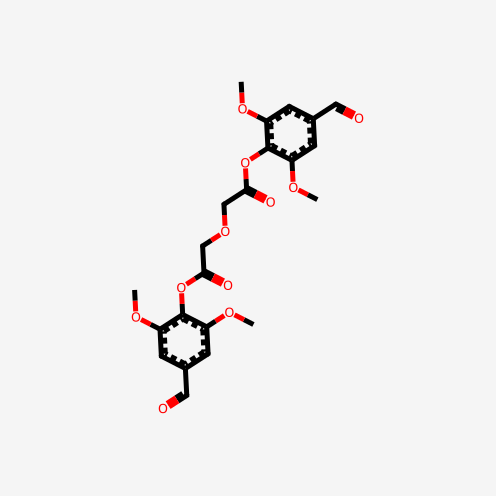 COc1cc(C=O)cc(OC)c1OC(=O)COCC(=O)Oc1c(OC)cc(C=O)cc1OC